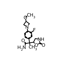 COC1CN(c2ccc(C(C)(C(N)=O)C3CNC(=O)O3)cc2F)C1